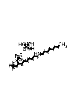 CCCCCCCCNCCCCCCCC(CC(F)(F)F)CC(F)(F)F.O=P(O)(O)O